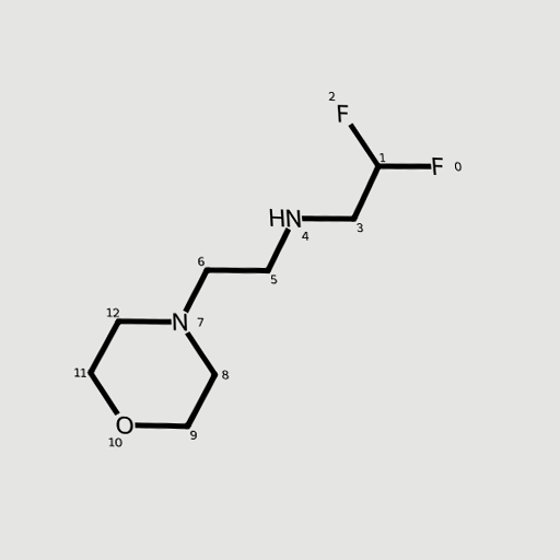 FC(F)CNCCN1CCOCC1